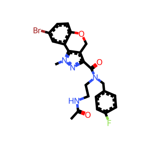 CC(=O)NCCN(Cc1ccc(F)cc1)C(=O)c1nn(C)c2c1COc1ccc(Br)cc1-2